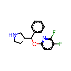 Fc1ccc(O[C@H](c2ccccc2)[C@@H]2CCNC2)nc1F